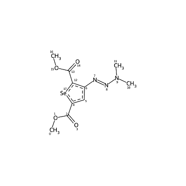 COC(=O)c1cc(N=NN(C)C)c(C(=O)OC)[se]1